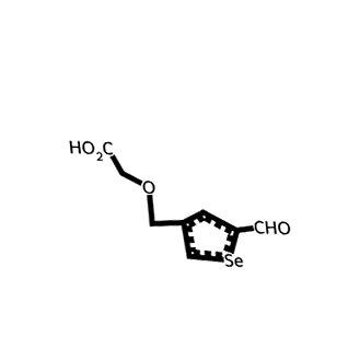 O=Cc1cc(COCC(=O)O)c[se]1